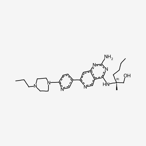 CCCC[C@](C)(CO)Nc1nc(N)nc2cc(-c3ccc(N4CCN(CCC)CC4)nc3)ncc12